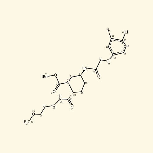 CC(C)(C)OC(=O)N1C[C@@H](NC(=O)COc2ccc(Cl)c(F)c2)CC[C@@H]1C(=O)NOCCOC(F)(F)F